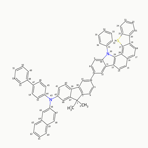 CC1(C)c2ccc(-c3ccc4c(c3)c3ccc5ccc6c7ccccc7sc6c5c3n4-c3ccccc3)cc2-c2ccc(N(c3ccc(-c4ccccc4)cc3)c3ccc4ccccc4c3)cc21